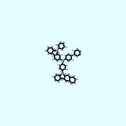 c1ccc(-c2ccc(N(c3ccc(-n4c5ccccc5c5cc6ccccc6cc54)cc3)c3ccc4c5ccccc5n(-c5ccccc5)c4c3)cc2)cc1